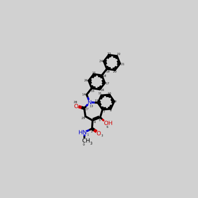 CNC(=O)C1=C(O)c2ccccc2N(Cc2ccc(-c3ccccc3)cc2)C(=O)C1